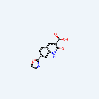 O=C(O)c1cc2ccc(-c3ncco3)cc2[nH]c1=O